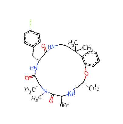 CCC[C@@H]1NC[C@@H](C)Oc2ccccc2C(C)(C)CCNC(=O)[C@@H](Cc2ccc(F)cc2)NC(=O)[C@@H](C)N(C)C1=O